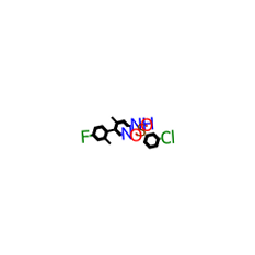 Cc1cc(F)ccc1-c1cnc(NS(=O)(=O)c2cccc(Cl)c2)cc1C